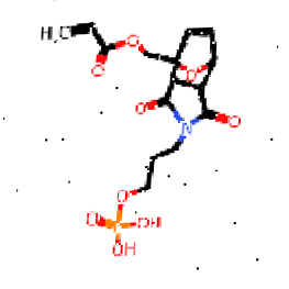 C=CC(=O)OCC12C=CC(O1)C1C(=O)N(CCCOP(=O)(O)O)C(=O)C12